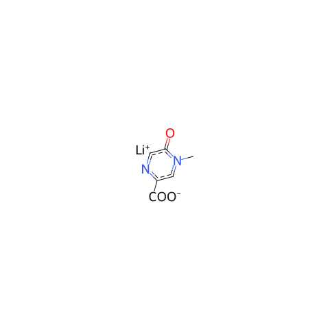 Cn1cc(C(=O)[O-])ncc1=O.[Li+]